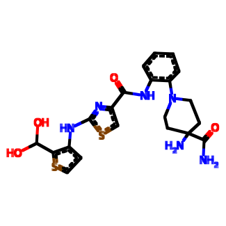 NC(=O)C1(N)CCN(c2ccccc2NC(=O)c2csc(Nc3ccsc3C(O)O)n2)CC1